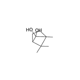 CC1(C)C2CCC1(C)C2(O)O